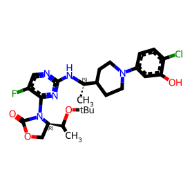 CC(OC(C)(C)C)[C@H]1COC(=O)N1c1nc(N[C@@H](C)C2CCN(c3ccc(Cl)c(O)c3)CC2)ncc1F